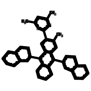 Cc1cc(C)nc(-c2cc3c(-c4ccc5ccccc5c4)c4ccccc4c(-c4ccc5ccccc5c4)c3cc2C)n1